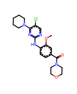 COc1cc(C(=O)N2CCOCC2)ccc1Nc1ncc(Cl)c(N2CCCCC2)n1